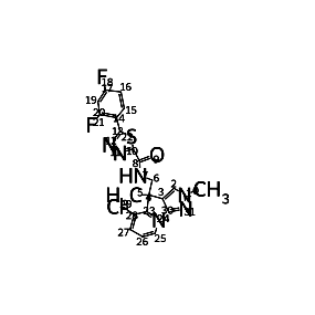 Cn1cc(C(C)(CNC(=O)c2nnc(-c3ccc(F)cc3F)s2)c2ncccc2Cl)cn1